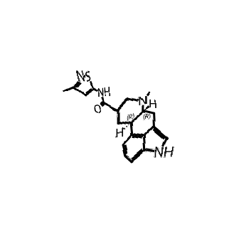 Cc1cc(NC(=O)C2C[C@@H]3c4cccc5[nH]cc(c45)C[C@H]3N(C)C2)sn1